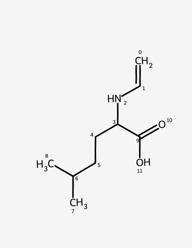 C=CNC(CCC(C)C)C(=O)O